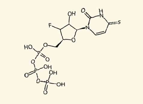 O=c1[nH]c(=S)ccn1[C@H]1O[C@@H](COP(=O)(O)OP(=O)(O)OP(=O)(O)O)C(F)C1O